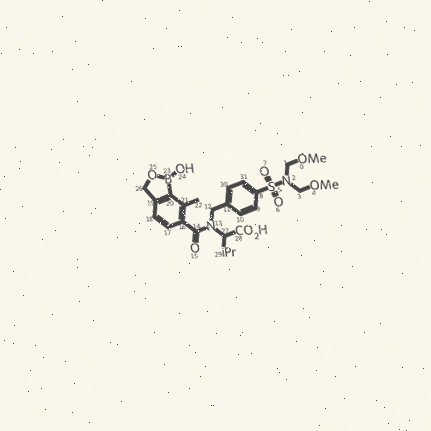 COCN(COC)S(=O)(=O)c1ccc(CN(C(=O)c2ccc3c(c2C)B(O)OC3)C(C(=O)O)C(C)C)cc1